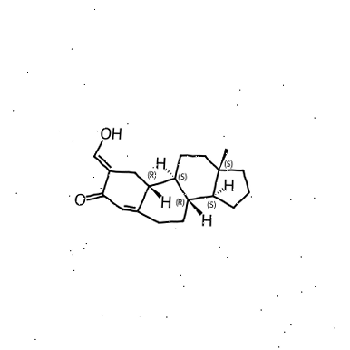 C[C@@]12CCC[C@H]1[C@@H]1CCC3=CC(=O)C(=CO)C[C@@H]3[C@H]1CC2